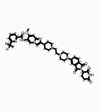 COc1cc2nc(C3CCN(CCN4CCN(c5ccc6c(c5)C(=O)N(C5CCC(=O)NC5=O)C6=O)CC4)CC3)cn2cc1NC(=O)c1cccc(C(F)(F)F)n1